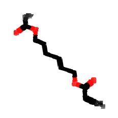 C=CC(=O)OCCCCCCOC(=O)CCC